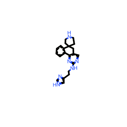 c1ccc2c(c1)-c1nc(NCCc3c[nH]cn3)ncc1CC21CCNCC1